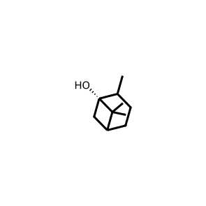 CC1CCC2C[C@]1(O)C2(C)C